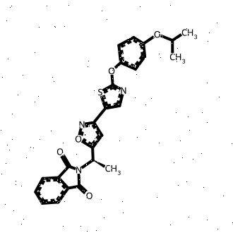 CC(C)Oc1ccc(Oc2ncc(-c3cc([C@@H](C)N4C(=O)c5ccccc5C4=O)on3)s2)cc1